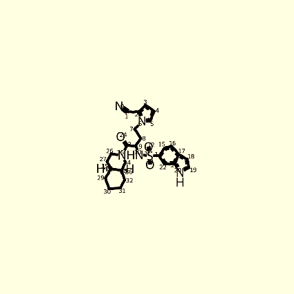 N#Cc1cccn1CCC(NS(=O)(=O)c1ccc2cc[nH]c2c1)C(=O)N1CC[C@@H]2CCCC[C@@H]2C1